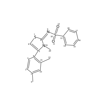 Cc1ccc(-c2cs/c(=N/S(=O)(=O)c3ccccc3)n2C)c(C)c1